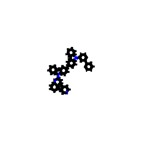 c1ccc(-c2cccc(-n3c4ccccc4c4cc(-c5ccc6c(c5)c5ccccc5n6-c5cc6c7c(cccc7n5)-c5cnccc5-6)ccc43)c2)cc1